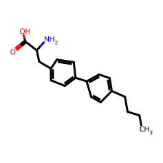 CCCCc1ccc(-c2ccc(CC(N)C(=O)O)cc2)cc1